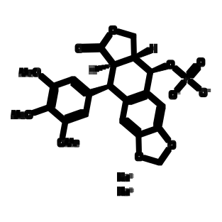 COc1cc([C@@H]2c3cc4c(cc3[C@H](OP(=O)([O-])[O-])[C@H]3COC(=O)[C@H]23)OCO4)cc(OC)c1OC.[Na+].[Na+]